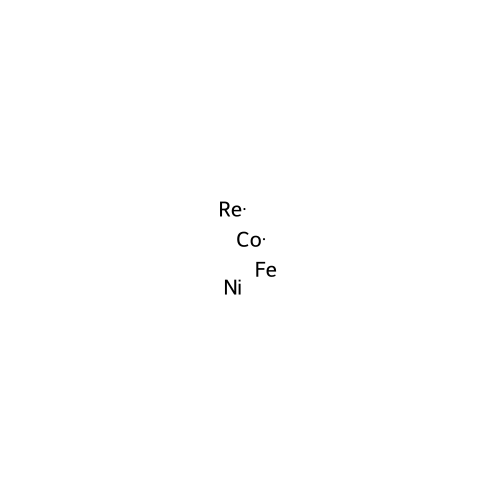 [Co].[Fe].[Ni].[Re]